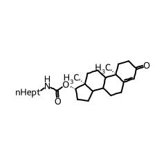 CCCCCCCNC(=O)O[C@H]1CCC2C3CCC4=CC(=O)CC[C@]4(C)C3CC[C@@]21C